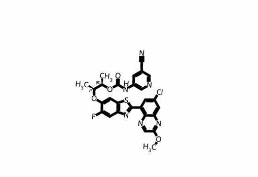 COc1cnc2c(-c3nc4cc(F)c(O[C@@H](C)[C@@H](C)OC(=O)Nc5cncc(C#N)c5)cc4s3)cc(Cl)cc2n1